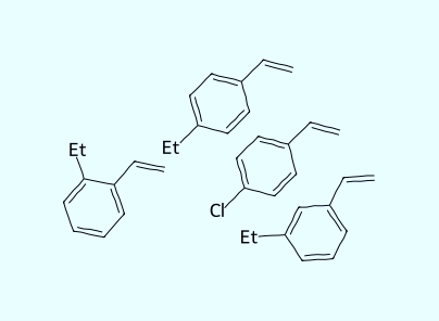 C=Cc1ccc(CC)cc1.C=Cc1ccc(Cl)cc1.C=Cc1cccc(CC)c1.C=Cc1ccccc1CC